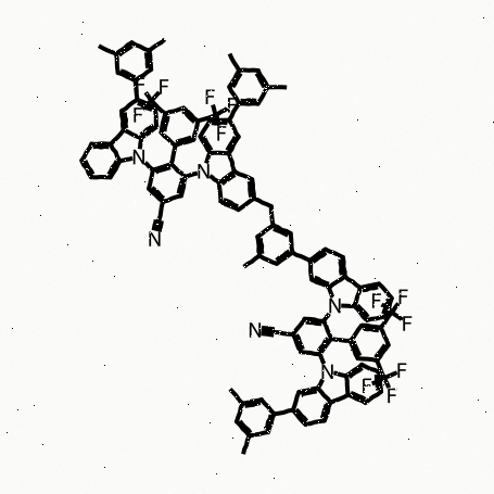 Cc1cc(C)cc(-c2ccc3c(c2)c2ccccc2n3-c2cc(C#N)cc(-n3c4ccc(Cc5cc(C)cc(-c6ccc7c8ccccc8n(-c8cc(C#N)cc(-n9c%10ccccc%10c%10ccc(-c%11cc(C)cc(C)c%11)cc%109)c8-c8cc(C(F)(F)F)cc(C(F)(F)F)c8)c7c6)c5)cc4c4cc(-c5cc(C)cc(C)c5)ccc43)c2-c2cc(C(F)(F)F)cc(C(F)(F)F)c2)c1